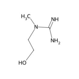 CN(CCO)C(=N)N